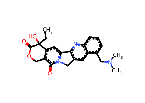 CCC1(O)C(=O)OCc2c1cc1n(c2=O)Cc2cc3c(CN(C)C)cccc3nc2-1